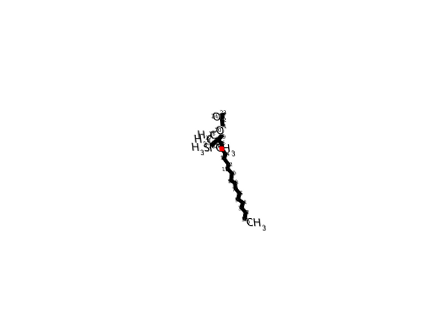 CCCCCCCCCCCCCCCCCC(C)(COCC1CO1)C(C)(C)[SiH3]